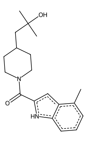 Cc1cccc2[nH]c(C(=O)N3CCC(CC(C)(C)O)CC3)cc12